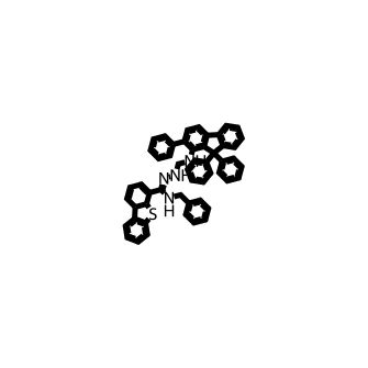 C1=CC2c3ccccc3SC2C(/C(=N/NCNc2c(-c3ccccc3)ccc3c2C(c2ccccc2)(c2ccccc2)c2ccccc2-3)NCc2ccccc2)=C1